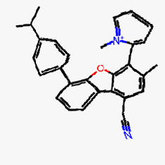 Cc1cc(C#N)c2c(oc3c(-c4ccc(C(C)C)cc4)cccc32)c1-c1cccc[n+]1C